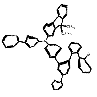 CC1(C)c2ccccc2-c2ccc(N(c3ccc(-c4ccccc4)cc3)c3ccc(-c4cc(-c5ccccc5)ccc4-c4ccccc4-c4ccccc4Br)cc3)cc21